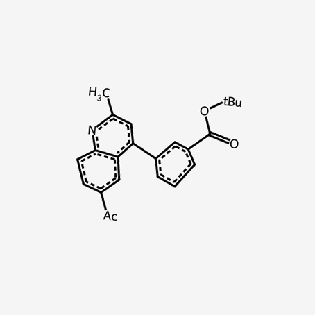 CC(=O)c1ccc2nc(C)cc(-c3cccc(C(=O)OC(C)(C)C)c3)c2c1